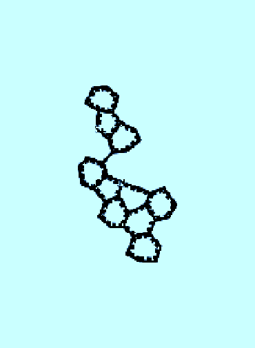 c1ccc2c(c1)sc1c(-c3cccc4c5ccc6c7ccccc7c7cccc8c7c6c5n8c34)cccc12